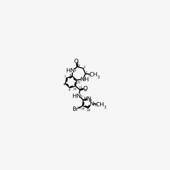 CC1CC(=O)Nc2cccc(C(=O)Nc3nn(C)cc3Br)c2N1